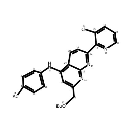 CC(=O)c1ccc(Nc2cc(COCC(C)C)nc3nc(-c4ncccc4Cl)ccc23)cc1